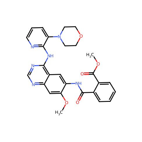 COC(=O)c1ccccc1C(=O)Nc1cc2c(Nc3ncccc3N3CCOCC3)ncnc2cc1OC